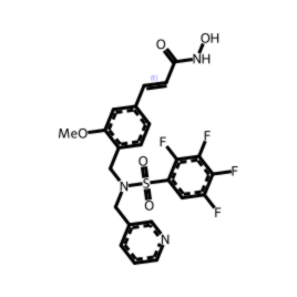 COc1cc(/C=C/C(=O)NO)ccc1CN(Cc1cccnc1)S(=O)(=O)c1cc(F)c(F)c(F)c1F